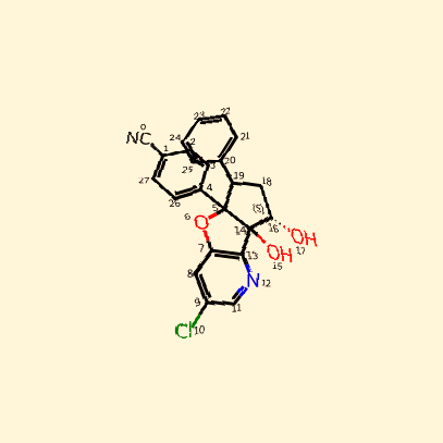 N#Cc1ccc(C23Oc4cc(Cl)cnc4C2(O)[C@@H](O)CC3c2ccccc2)cc1